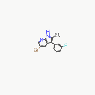 CCc1[nH]c2ncc(Br)cc2c1-c1cccc(F)c1